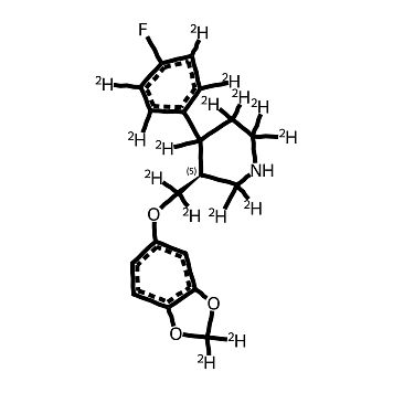 [2H]c1c([2H])c(C2([2H])[C@H](C([2H])([2H])Oc3ccc4c(c3)OC([2H])([2H])O4)C([2H])([2H])NC([2H])([2H])C2([2H])[2H])c([2H])c([2H])c1F